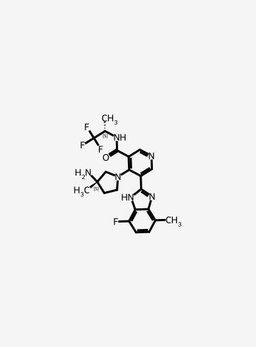 Cc1ccc(F)c2[nH]c(-c3cncc(C(=O)N[C@@H](C)C(F)(F)F)c3N3CC[C@](C)(N)C3)nc12